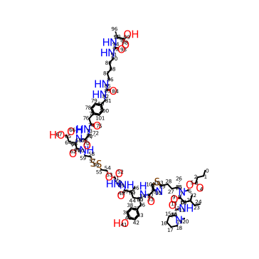 CCCC(=O)OCN(C(=O)[C@@H](NC(=O)[C@H]1CCCCN1C)C(C)CC)[C@@H](C)CCc1nc(C(=O)N[C@@H](Cc2ccc(O)cc2)C[C@H](C)C(=O)NNC(=O)OCCSSCCNC(=O)[C@@H](CC(=O)O)NC(=O)[C@@H](C)NC(=O)Cc2ccc(CNC(=O)NCCCCCNC(=O)N[C@@H](C)C(=O)O)cc2)cs1